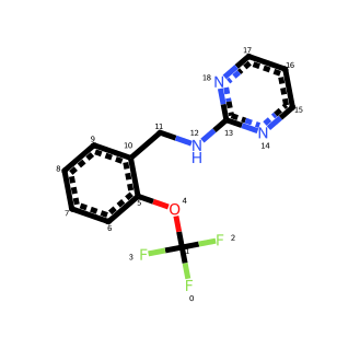 FC(F)(F)Oc1ccccc1CNc1ncccn1